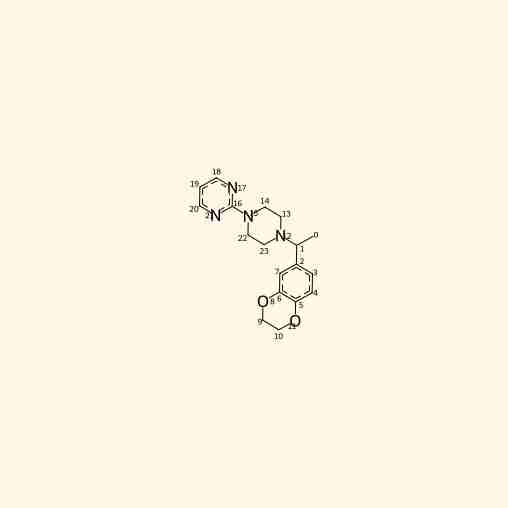 CC(c1ccc2c(c1)OCCO2)N1CCN(c2ncccn2)CC1